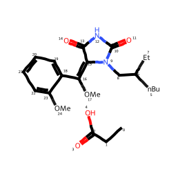 CCC(=O)O.CCCCC(CC)CN1C(=O)NC(=O)C1=C(OC)c1ccccc1OC